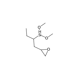 CCC(CC1CO1)[SiH](OC)OC